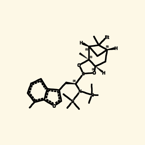 CCC1(C)[C@@H]2C[C@H]3OB([C@H](Cc4coc5c(C)cccc45)N([Si](C)(C)C)[Si](C)(C)C)O[C@@]3(C)[C@H]1C2